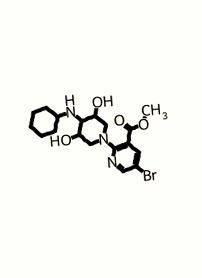 COC(=O)c1cc(Br)cnc1N1CC(O)C(NC2CCCCC2)C(O)C1